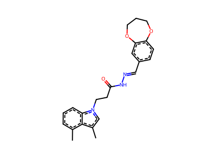 Cc1cccc2c1c(C)cn2CCC(=O)NN=Cc1ccc2c(c1)OCCCO2